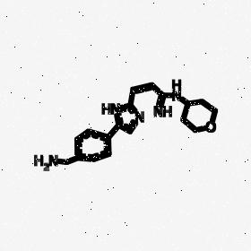 N=C(/C=C\c1ncc(-c2ccc(CN)cc2)[nH]1)NC1CCOCC1